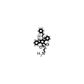 NCCCN1C(=O)c2c(c3c4ccccc4n(CCc4ccccc4)c3c3[nH]c4ccccc4c23)C1=O